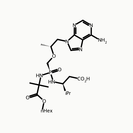 CCCCCCOC(=O)C(C)(C)N[P@@](=O)(CO[C@H](C)Cn1cnc2c(N)ncnc21)N[C@@H](CC(=O)O)C(C)C